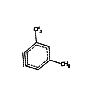 Cc1cc#cc(C(F)(F)F)c1